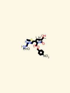 C[C@@H](O)[C@H]1C(=O)N2C(C(=O)OCc3ccc([N+](=O)[O-])cc3)=C(c3cn4c(CNC=O)ncc4s3)[C@H](C)[C@H]12